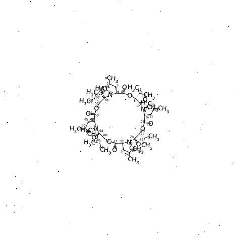 CC(C)C[C@H]1C(=O)O[C@H](C(C)C)C(=O)N(C)[C@@H](CC(C)C)C(=O)O[C@H](C(C)C)C(=O)N(C)[C@@H](CC(C)C)C(=O)O[C@H](C(C)C)C(=O)N(C)[C@@H](CC(C)C)C(=O)O[C@H](C(C)C)C(=O)N1C